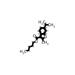 CCCCCOC(=O)c1c(C)oc2cc(C(C)C)ccc12